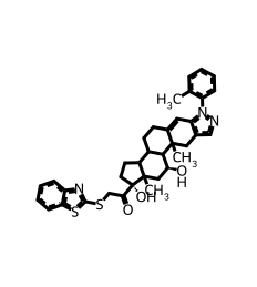 Cc1ccccc1-n1ncc2c1C=C1CCC3C([C@@H](O)CC4(C)C3CC[C@]4(O)C(=O)CSc3nc4ccccc4s3)C1(C)C2